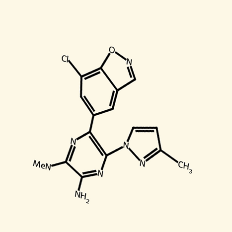 CNc1nc(-c2cc(Cl)c3oncc3c2)c(-n2ccc(C)n2)nc1N